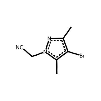 Cc1nn(CC#N)c(C)c1Br